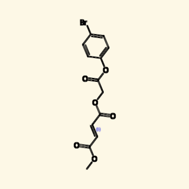 COC(=O)/C=C/C(=O)OCC(=O)Oc1ccc(Br)cc1